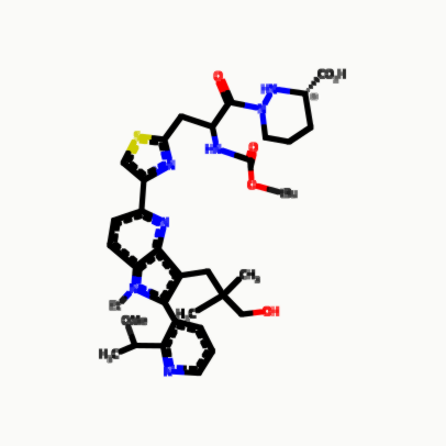 CCn1c(-c2cccnc2C(C)OC)c(CC(C)(C)CO)c2nc(-c3csc(CC(NC(=O)OC(C)(C)C)C(=O)N4CCC[C@@H](C(=O)O)N4)n3)ccc21